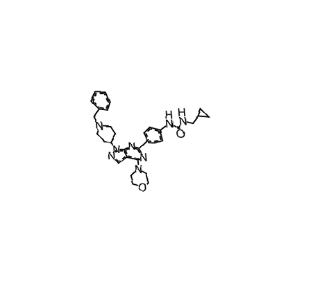 O=C(NCC1CC1)Nc1ccc(-c2nc(N3CCOCC3)c3cnn(C4CCN(Cc5ccccc5)CC4)c3n2)cc1